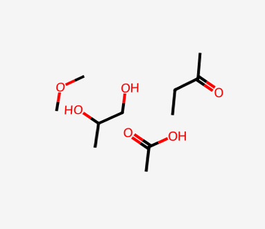 CC(=O)O.CC(O)CO.CCC(C)=O.COC